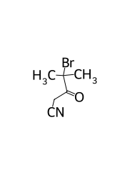 CC(C)(Br)C(=O)CC#N